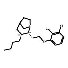 CCCC[C@H]1CC2CCN(C2)[C@@H]1CCSc1cccc(Cl)c1Cl